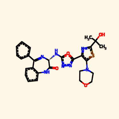 CC(C)(O)c1nc(-c2nnc(N[C@H]3N=C(c4ccccc4)c4ccccc4NC3=O)o2)c(N2CCOCC2)s1